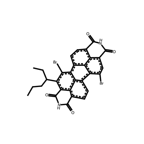 CCCC(CC)c1c2c3c(ccc4c5c(Br)cc6c7c(ccc(c(c1Br)c34)c75)C(=O)NC6=O)C(=O)NC2=O